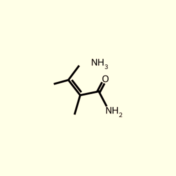 CC(C)=C(C)C(N)=O.N